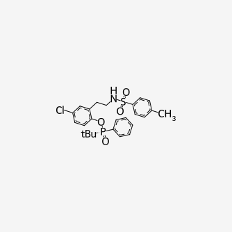 Cc1ccc(S(=O)(=O)NCCc2cc(Cl)ccc2O[P@](=O)(c2ccccc2)C(C)(C)C)cc1